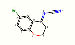 N#C/N=C1\CCOc2ccc(Br)cc21